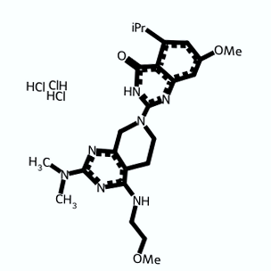 COCCNc1nc(N(C)C)nc2c1CCN(c1nc3cc(OC)cc(C(C)C)c3c(=O)[nH]1)C2.Cl.Cl.Cl